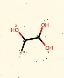 [CH2]CCC(O)C(O)O